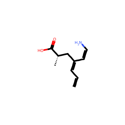 C=C/C=C(\C=C/N)C[C@H](C)C(=O)O